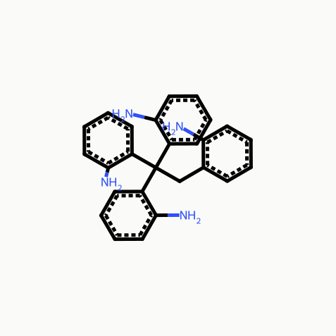 Nc1ccccc1CC(c1ccccc1N)(c1ccccc1N)c1ccccc1N